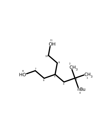 CCCCC(C)(C)CC(CCO)CCO